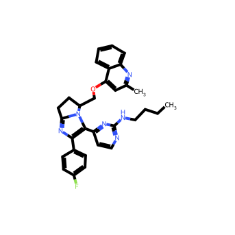 CCCCNc1nccc(-c2c(-c3ccc(F)cc3)nc3n2C(COc2cc(C)nc4ccccc24)CC3)n1